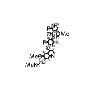 CNCCOc1cc2nccc(Oc3cc(F)c(NC(=O)c4c(OC)ccnc4F)cc3F)c2cc1OC